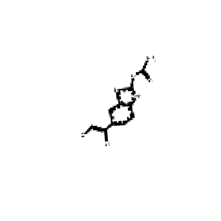 NC(=O)Oc1nc2cc(C(Cl)=CCl)ccc2[nH]1